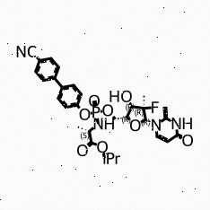 C=C1NC(=O)C=CN1[C@@H]1O[C@H](COP(=O)(N[C@@H](C)C(=O)OC(C)C)Oc2ccc(-c3ccc(C#N)cc3)cc2)[C@@H](O)[C@@]1(C)F